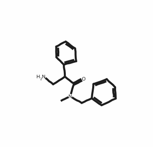 CN(Cc1ccccc1)C(=O)C(CN)c1ccccc1